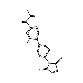 C=C(C)C(=O)c1ccc(-c2ccc(N3C(=O)C=CC3=O)cc2)c(F)c1